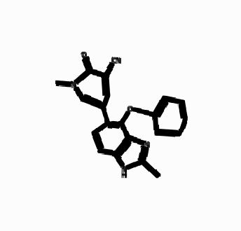 Cc1nc2c(Oc3ccccc3)c(-c3cc(C#N)c(=O)n(C)c3)ccc2[nH]1